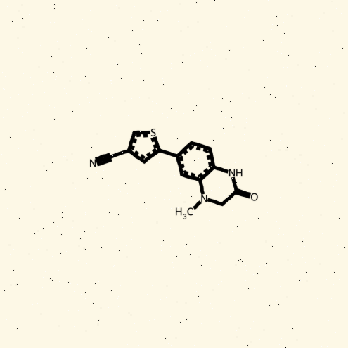 CN1CC(=O)Nc2ccc(-c3cc(C#N)cs3)cc21